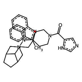 Cc1nc2ccccc2n1N1CC2CCC(C1)C2CCC1(c2ccccc2)CCN(C(=O)c2cnc[nH]2)CC1